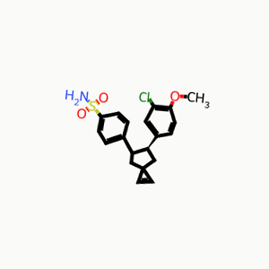 COc1ccc([C@H]2CC3(C=C3)CC2c2ccc(S(N)(=O)=O)cc2)cc1Cl